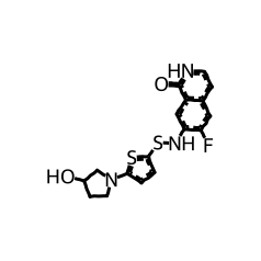 O=c1[nH]ccc2cc(F)c(NSc3ccc(N4CCC(O)C4)s3)cc12